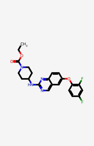 CCOC(=O)N1CCC(Nc2ncc3cc(Oc4ccc(F)cc4F)ccc3n2)CC1